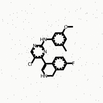 COc1cc(C)cc(Nc2ncc(Cl)c(C3=CNCc4cc(F)ccc43)n2)c1